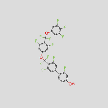 Oc1ccc(-c2cc(F)c(C(F)(F)Oc3cc(F)c(C(F)(F)Oc4cc(F)c(F)c(F)c4)c(F)c3)c(F)c2)c(F)c1